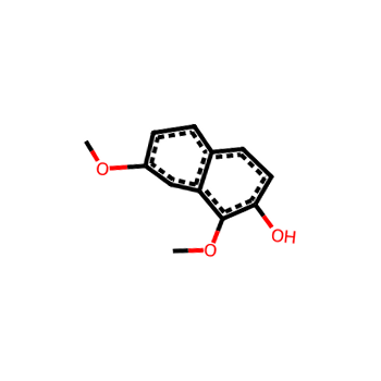 COc1ccc2ccc(O)c(OC)c2c1